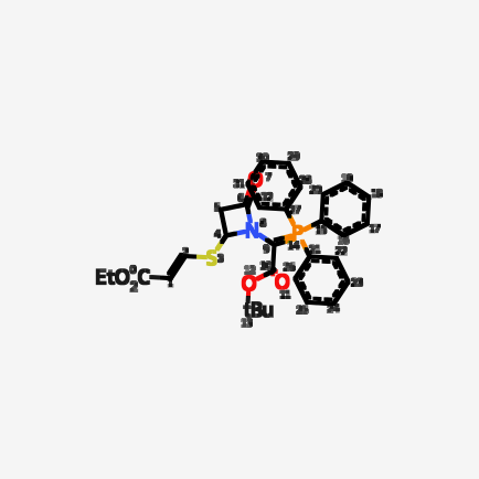 CCOC(=O)C=CSC1CC(=O)N1C(C(=O)OC(C)(C)C)=P(c1ccccc1)(c1ccccc1)c1ccccc1